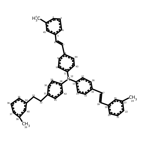 Cc1cccc(/C=C/c2ccc(N(c3ccc(/C=C/c4cccc(C)c4)cc3)c3ccc(CCc4cccc(C)c4)cc3)cc2)c1